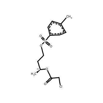 Cc1ccc(S(=O)(=O)OCC[C@H](C)OC(=O)CCl)cc1